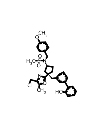 COc1ccc(CN([C@H]2CC[C@](Cc3cccc(-c4ccccc4O)c3)(c3nc(CCl)c(C)o3)C2)S(C)(=O)=O)cc1